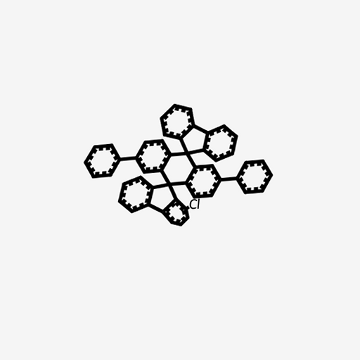 Clc1cccc2c1C1(c3ccccc3-2)c2ccc(-c3ccccc3)cc2C2(c3ccccc3-c3ccccc32)c2ccc(-c3ccccc3)cc21